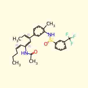 C\C=C(/C=C(\C=C/CCC)NC(C)=O)c1ccc(C)c(N[S+]([O-])c2cccc(C(F)(F)F)c2)c1